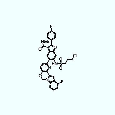 CNC(=O)c1c(-c2ccc(F)cc2)oc2cc(NS(=O)(=O)CCCCl)c(-c3ccc4c(n3)-c3cc5c(F)cccc5n3CO4)cc12